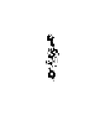 O=C(NCc1ccc(F)cc1)N[C@H]1CO[C@H]2[C@@H]1OC[C@@H]2C#Cc1ccsc1